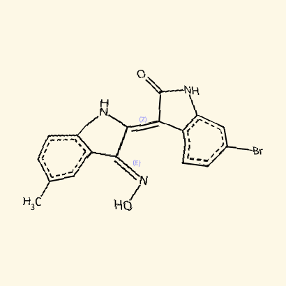 Cc1ccc2c(c1)C(=N\O)/C(=C1/C(=O)Nc3cc(Br)ccc31)N2